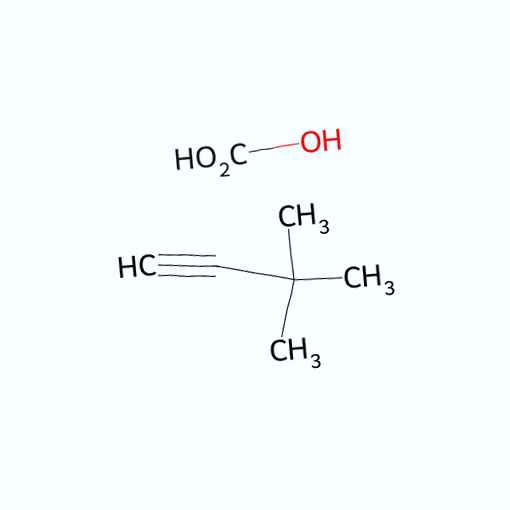 C#CC(C)(C)C.O=C(O)O